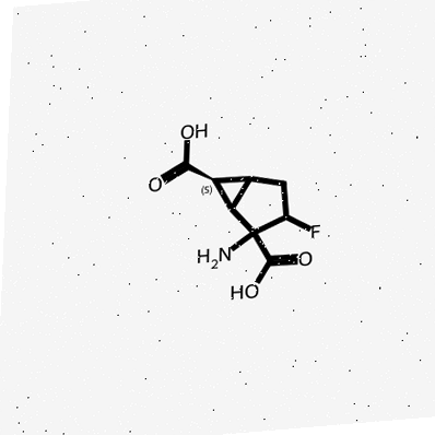 NC1(C(=O)O)C(F)CC2C1[C@H]2C(=O)O